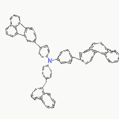 c1ccc2c(-c3ccc(N(c4ccc(-c5ccc6c(c5)-c5cccc7cccc-6c57)cc4)c4ccc(-c5ccc6c(ccc7ccccc76)c5)cc4)cc3)cccc2c1